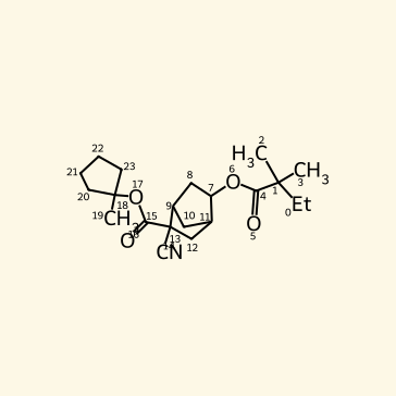 CCC(C)(C)C(=O)OC1CC2CC1CC2(C#N)C(=O)OC1(C)CCCC1